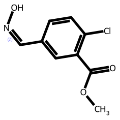 COC(=O)c1cc(/C=N\O)ccc1Cl